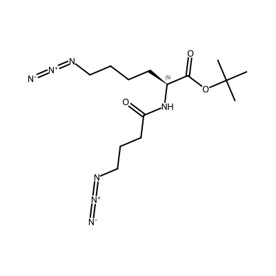 CC(C)(C)OC(=O)[C@H](CCCCN=[N+]=[N-])NC(=O)CCCN=[N+]=[N-]